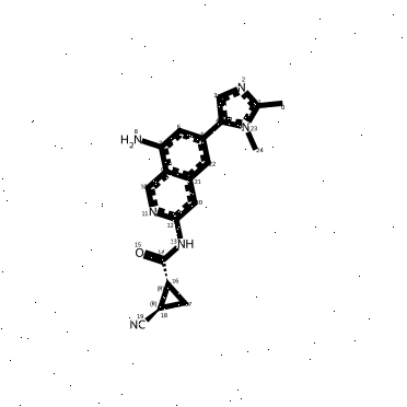 Cc1ncc(-c2cc(N)c3cnc(NC(=O)[C@@H]4C[C@H]4C#N)cc3c2)n1C